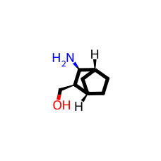 N[C@H]1[C@@H]2CC[C@@H](C2)[C@H]1CO